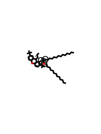 CCCCCCCCCCCCCOP(OCCCCCCCCCCCCC)Oc1c(C(C)(C)C)ccc(C)c1C(CCC)c1[c]c(C(C)(C)C)ccc1C